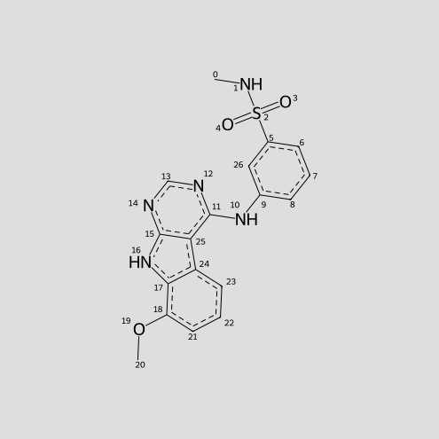 CNS(=O)(=O)c1cccc(Nc2ncnc3[nH]c4c(OC)cccc4c23)c1